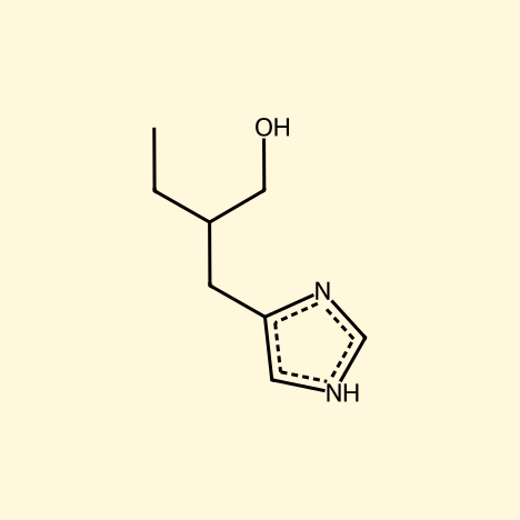 CCC(CO)Cc1c[nH]cn1